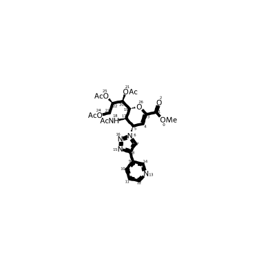 COC(=O)C1=C[C@H](n2cc(-c3cccnc3)nn2)[C@@H](NC(C)=O)[C@H]([C@H](OC(C)=O)[C@@H](COC(C)=O)OC(C)=O)O1